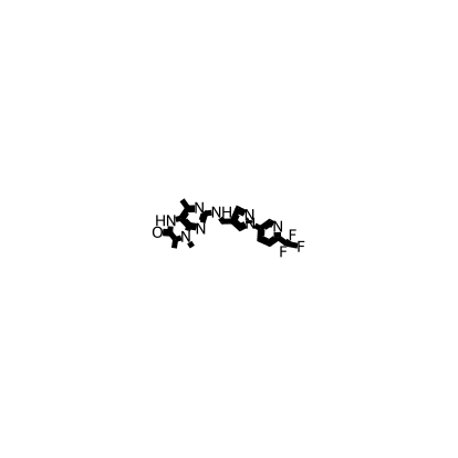 Cc1nc(NCc2cnn(-c3ccc(C(F)(F)F)nc3)c2)nc2c1NC(=O)C(C)N2C